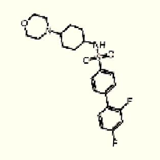 O=S(=O)(NC1CCC(N2CCOCC2)CC1)c1ccc(-c2ccc(F)cc2F)cc1